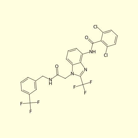 O=C(Cn1c(C(F)(F)F)nc2c(NC(=O)c3c(Cl)cccc3Cl)cccc21)NCc1cccc(C(F)(F)F)c1